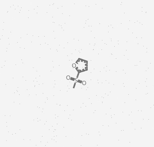 CS(=O)(=O)c1ccco1